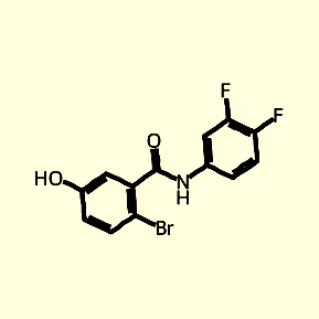 O=C(Nc1ccc(F)c(F)c1)c1cc(O)ccc1Br